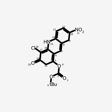 CC(C)(C)OC(=O)OC1=C2C=C3CC([N+](=O)[O-])=CC=C3NC2=C(Cl)C(=O)C1